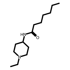 CCCCCCC(=O)NC1CCN(CC)CC1